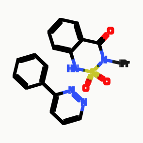 CC(C)N1C(=O)c2ccccc2NS1(=O)=O.c1ccc(-c2cccnn2)cc1